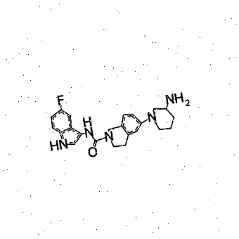 NC1CCCN(c2ccc3c(c2)CCN(C(=O)Nc2c[nH]c4ccc(F)cc24)C3)C1